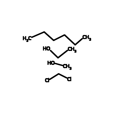 CCCCCC.CCO.CO.ClCCl